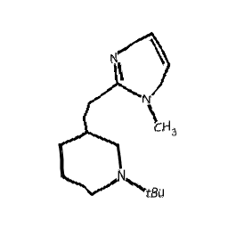 Cn1ccnc1CC1CCCN(C(C)(C)C)C1